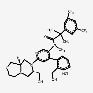 CN(C(=O)C(C)(C)c1cc(C(F)(F)F)cc(C(F)(F)F)c1)c1cnc(N2C[C@H]3COCCN3C[C@H]2CO)cc1-c1ccccc1CO.Cl